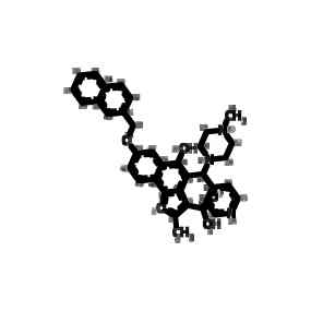 Cc1oc2c(c1C(=O)O)c(C(c1ccncc1)N1CCN(C)CC1)c(O)c1cc(OCc3ccc4ccccc4c3)ccc12